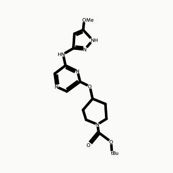 COc1cc(Nc2cncc(OC3CCN(C(=O)OC(C)(C)C)CC3)n2)n[nH]1